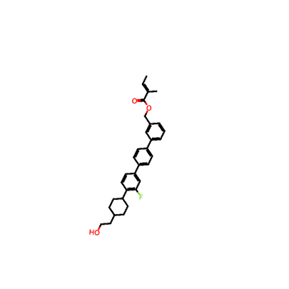 C/C=C(\C)C(=O)OCc1cccc(-c2ccc(-c3ccc(C4CCC(CCO)CC4)c(F)c3)cc2)c1